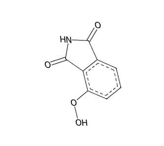 O=C1NC(=O)c2c(OO)cccc21